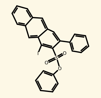 O=S(=O)(Oc1ccccc1)c1c(-c2ccccc2)cc2cc3ccccc3cc2c1I